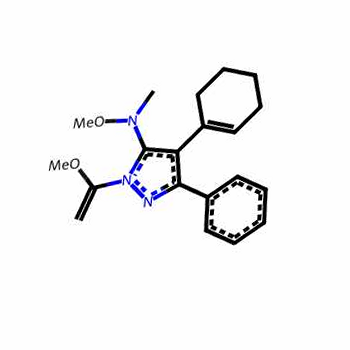 C=C(OC)n1nc(-c2ccccc2)c(C2=CCCCC2)c1N(C)OC